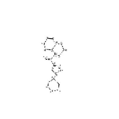 O=C(c1csc(C2CCSCC2)c1)N1CCCC2CCCCC21